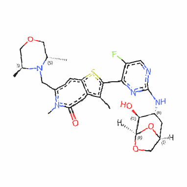 Cc1c(-c2nc(N[C@@H]3C[C@H]4CO[C@H](O4)[C@H]3O)ncc2F)sc2cc(CN3[C@@H](C)COC[C@@H]3C)n(C)c(=O)c12